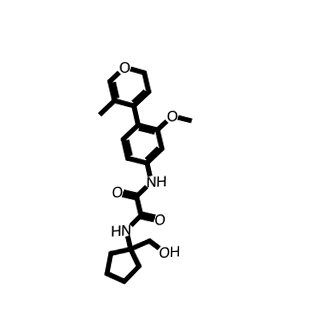 COc1cc(NC(=O)C(=O)NC2(CO)CCCC2)ccc1C1=CCOC=C1C